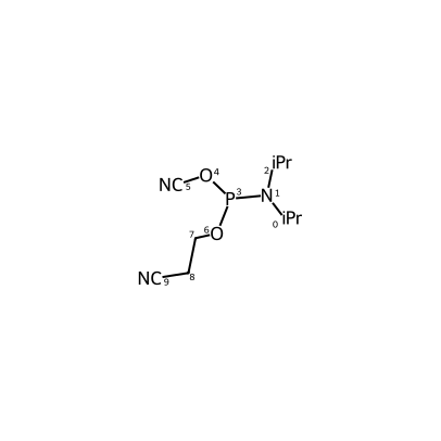 CC(C)N(C(C)C)P(OC#N)OCCC#N